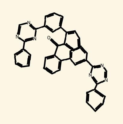 O=C(c1ccccc1-c1cccc(-c2ncnc(-c3ccccc3)n2)c1)c1ccccc1-c1cccc(-c2ncnc(-c3ccccc3)n2)c1